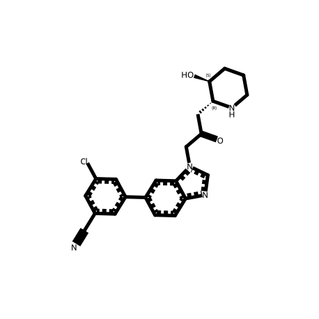 N#Cc1cc(Cl)cc(-c2ccc3ncn(CC(=O)C[C@H]4NCCC[C@@H]4O)c3c2)c1